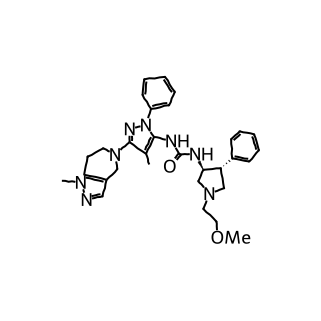 COCCN1C[C@@H](NC(=O)Nc2c(C)c(N3CCc4c(cnn4C)C3)nn2-c2ccccc2)[C@H](c2ccccc2)C1